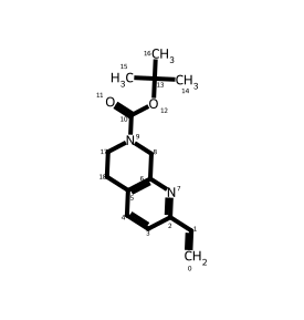 C=Cc1ccc2c(n1)CN(C(=O)OC(C)(C)C)CC2